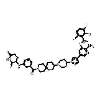 C[C@@H](Oc1cc(-c2cnn(C3CCN(C4CCC5(CC4)CCN(C(=O)c4cccc(NC6CCC(=O)NC6=O)c4)CC5)CC3)c2)cnc1N)c1c(Cl)ccc(F)c1Cl